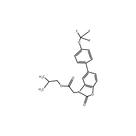 CC(C)COC(=O)Cn1c(=O)oc2ccc(-c3ccc(OC(F)(F)F)cc3)cc21